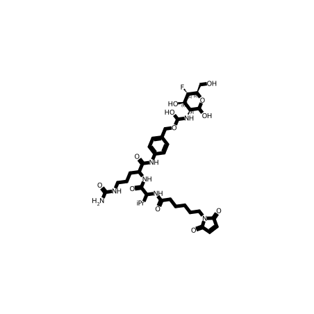 CC(C)C(NC(=O)CCCCCN1C(=O)C=CC1=O)C(=O)NC(CCCNC(N)=O)C(=O)Nc1ccc(COC(O)N[C@H]2C(O)O[C@H](CO)[C@@H](F)[C@@H]2O)cc1